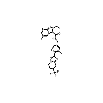 CCc1nc2ncc(C)cn2c1C(=O)NCc1cnc(-c2nc3n(n2)CCC(C(F)(F)F)C3)c(C)c1